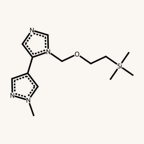 Cn1cc(-c2cncn2COCC[Si](C)(C)C)cn1